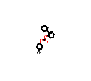 Cc1ccc(OC(=O)Oc2ccccc2-c2ccccc2)cc1